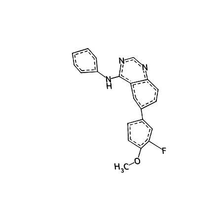 COc1ccc(-c2ccc3ncnc(Nc4ccccc4)c3c2)cc1F